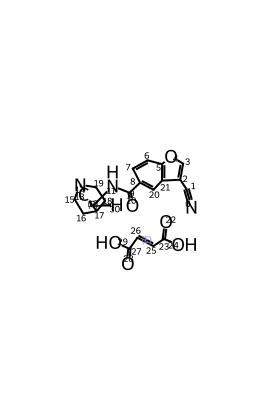 N#Cc1coc2ccc(C(=O)N[C@H]3CN4CCC3CC4)cc12.O=C(O)/C=C/C(=O)O